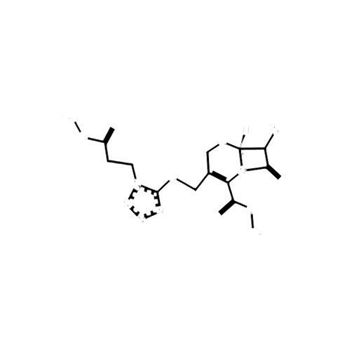 CC(C)(C)OC(=O)CCn1nnnc1SCC1=C(C(=O)OC(C)(C)C)N2C(=O)C(N)[C@H]2SC1